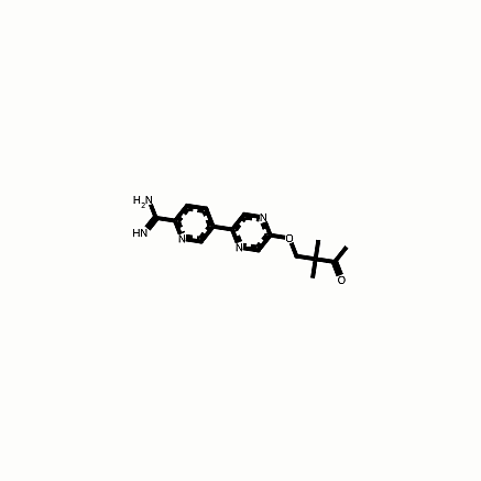 CC(=O)C(C)(C)COc1cnc(-c2ccc(C(=N)N)nc2)cn1